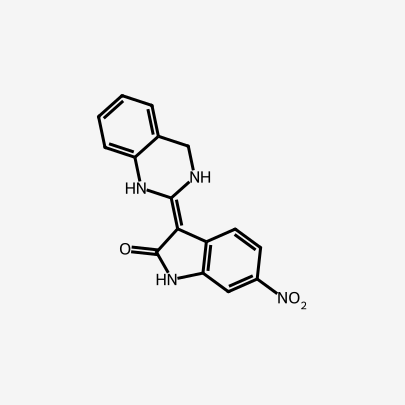 O=C1Nc2cc([N+](=O)[O-])ccc2/C1=C1\NCc2ccccc2N1